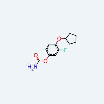 NC(=O)Oc1ccc(OC2CCCC2)c(F)c1